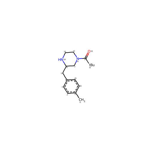 Cc1ccc(CC2CN(C(=O)C(C)(C)C)CCN2)cc1